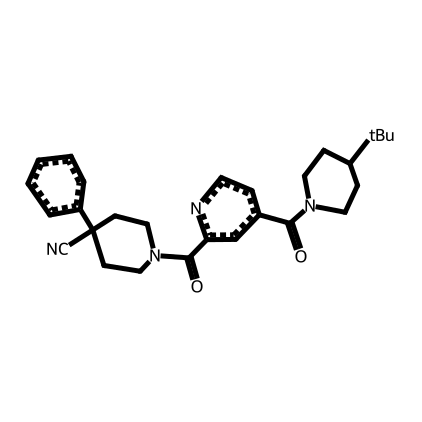 CC(C)(C)C1CCN(C(=O)c2ccnc(C(=O)N3CCC(C#N)(c4ccccc4)CC3)c2)CC1